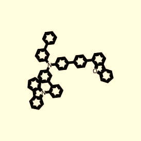 c1ccc(-c2cccc(N(c3ccc(-c4ccc(-c5cccc6c5oc5ccccc56)cc4)cc3)c3cccc(-c4ccccc4-n4c5ccccc5c5ccccc54)c3)c2)cc1